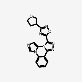 c1ccc2c(c1)c1nnc(-c3nc(C4CCOC4)no3)n1c1cncn21